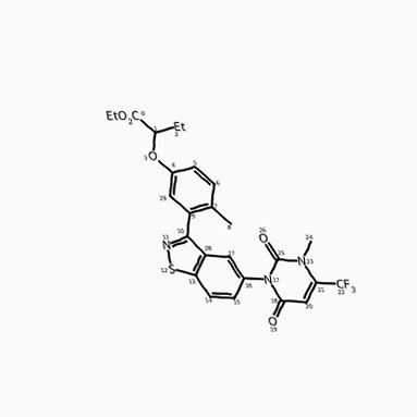 CCOC(=O)C(CC)Oc1ccc(C)c(-c2nsc3ccc(-n4c(=O)cc(C(F)(F)F)n(C)c4=O)cc23)c1